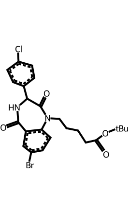 CC(C)(C)OC(=O)CCCCN1C(=O)C(c2ccc(Cl)cc2)NC(=O)c2cc(Br)ccc21